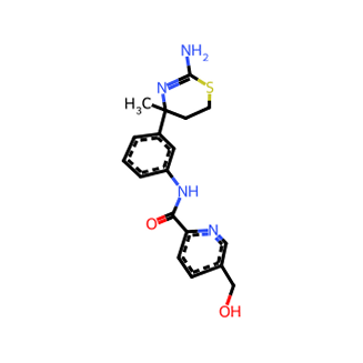 CC1(c2cccc(NC(=O)c3ccc(CO)cn3)c2)CCSC(N)=N1